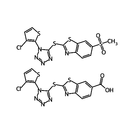 CS(=O)(=O)c1ccc2nc(Sc3nnnn3-c3sccc3Cl)sc2c1.O=C(O)c1ccc2nc(Sc3nnnn3-c3sccc3Cl)sc2c1